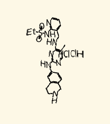 CCS(=O)(=O)Nc1ncccc1CNc1nc(Nc2ccc3c(c2)CCNC3)ncc1C.Cl.Cl